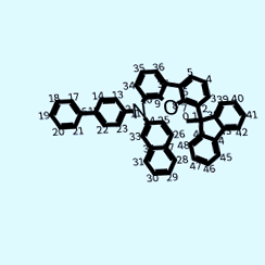 CC1(c2cccc3c2oc2c(N(c4ccc(-c5ccccc5)cc4)c4ccc5ccccc5c4)cccc23)c2ccccc2-c2ccccc21